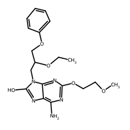 CCOC(COc1ccccc1)Cn1c(O)nc2c(N)nc(OCCOC)nc21